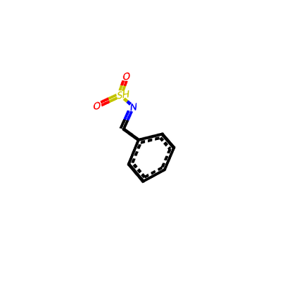 O=[SH](=O)N=Cc1ccccc1